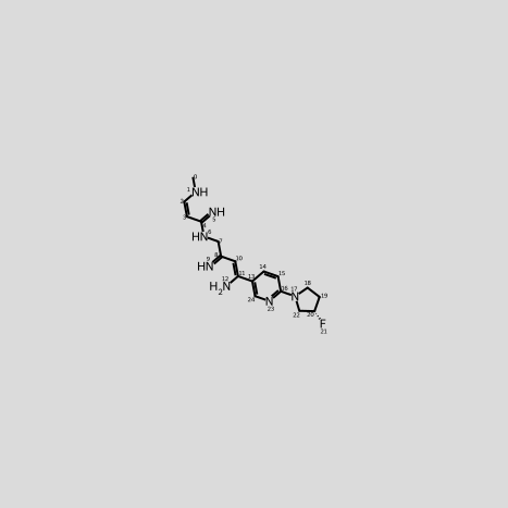 CN/C=C\C(=N)NCC(=N)/C=C(\N)c1ccc(N2CC[C@H](F)C2)nc1